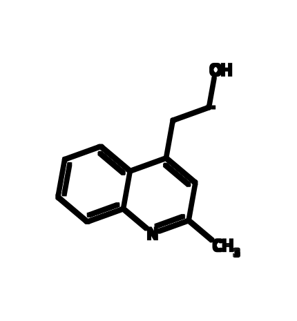 Cc1cc(C[CH]O)c2ccccc2n1